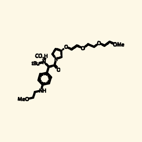 COCCNc1ccc(C(C(=O)N2CC[C@H](OCCOCCOCCOC)C2)N(C(=O)O)C(C)(C)C)cc1